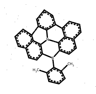 Cc1cccc(C)c1B1c2ccc3cccc4c3c2N2c3c-4cccc3-c3cccc4ccc1c2c34